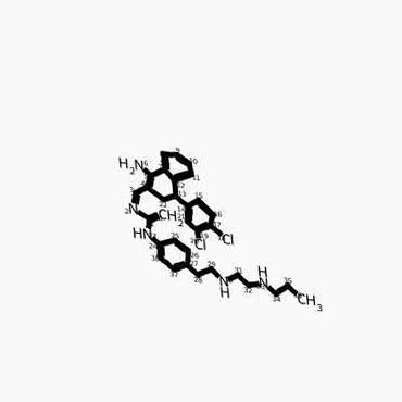 C=C(/N=C\C1=C(N)c2ccccc2C(c2ccc(Cl)c(Cl)c2)C1)Nc1ccc(CCNCCNCCC)cc1